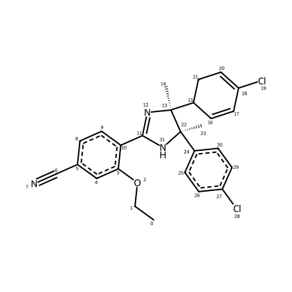 CCOc1cc(C#N)ccc1C1=N[C@@](C)(C2C=CC(Cl)=CC2)[C@@](C)(c2ccc(Cl)cc2)N1